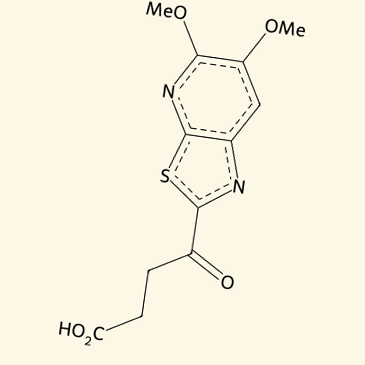 COc1cc2nc(C(=O)CCC(=O)O)sc2nc1OC